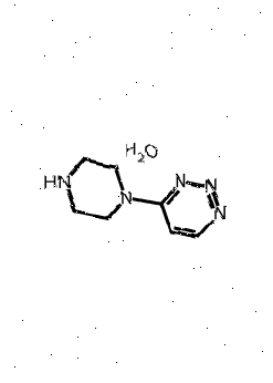 O.c1cc(N2CCNCC2)nnn1